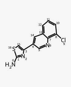 Nc1nc(-c2cnc3c(Cl)cccc3c2)cs1